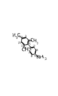 Cc1cc(C)c(-c2ccc(N)cc2)c(C)c1